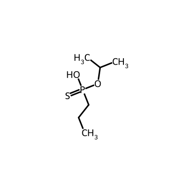 CCCP(O)(=S)OC(C)C